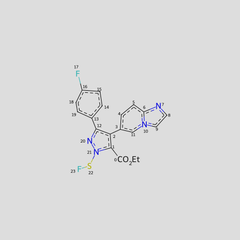 CCOC(=O)c1c(-c2ccc3nccn3c2)c(-c2ccc(F)cc2)nn1SF